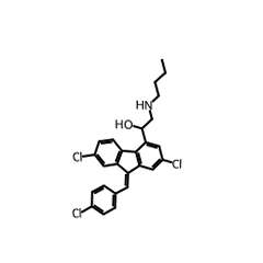 CCCCNCC(O)c1cc(Cl)cc2c1-c1ccc(Cl)cc1/C2=C\c1ccc(Cl)cc1